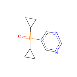 O=P(c1cncnc1)(C1CC1)C1CC1